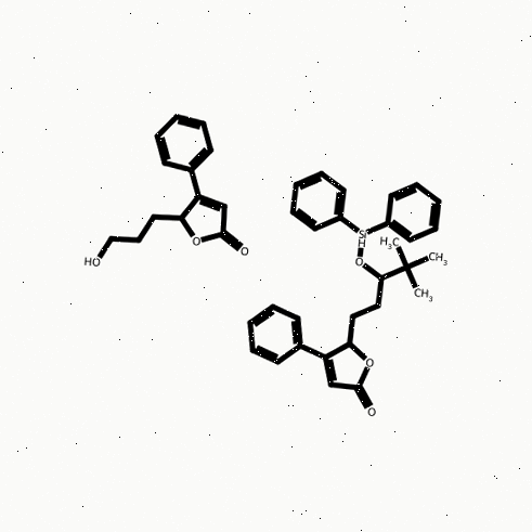 CC(C)(C)C(CCC1OC(=O)C=C1c1ccccc1)O[SiH](c1ccccc1)c1ccccc1.O=C1C=C(c2ccccc2)C(CCCO)O1